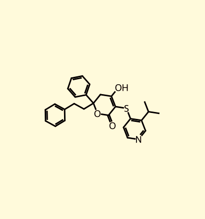 CC(C)c1cnccc1SC1=C(O)CC(CCc2ccccc2)(c2ccccc2)OC1=O